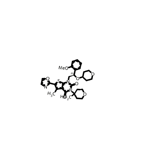 COc1ccccc1[C@H](Cn1c(=O)n(C2(C(=O)O)CCOCC2)c(=O)c2c(C)c(-c3ncco3)sc21)OC1CCOCC1